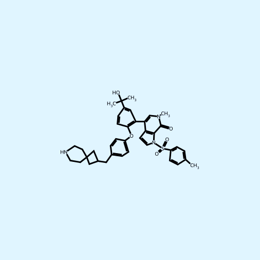 Cc1ccc(S(=O)(=O)n2ccc3c(-c4cc(C(C)(C)O)ccc4Oc4ccc(CC5CC6(CCNCC6)C5)cc4)cn(C)c(=O)c32)cc1